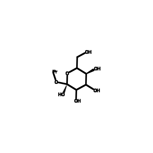 CC(C)O[C@@]1(O)OC(CO)[C@@H](O)C(O)C1O